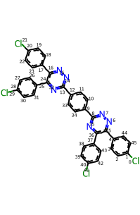 Clc1ccc(-c2nnc(-c3ccc(-c4nnc(-c5ccc(Cl)cc5)c(-c5ccc(Cl)cc5)n4)cc3)nc2-c2ccc(Cl)cc2)cc1